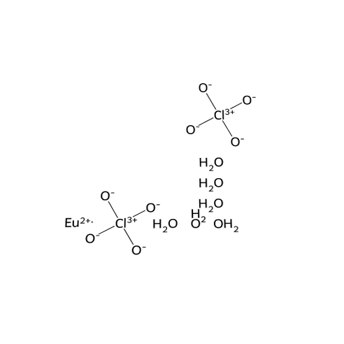 O.O.O.O.O.O.[Eu+2].[O-][Cl+3]([O-])([O-])[O-].[O-][Cl+3]([O-])([O-])[O-]